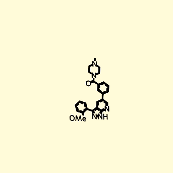 COc1ccccc1-c1n[nH]c2ncc(-c3cccc(C(=O)N4CCN(C)CC4)c3)cc12